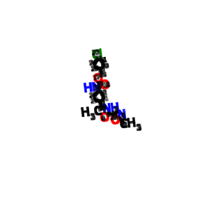 Cc1ncc(C(=O)N[C@@H](C)c2ccc(NC(=O)OCc3ccc(Cl)cc3)cc2)o1